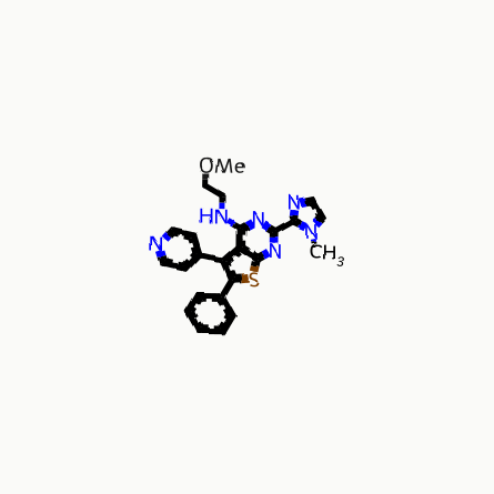 COCCNc1nc(-c2nccn2C)nc2sc(-c3ccccc3)c(-c3ccncc3)c12